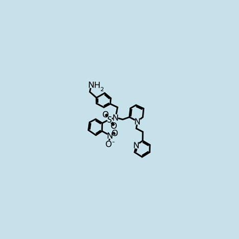 NCc1ccc(CN(CC2=CC=CCN2CCc2ccccn2)S(=O)(=O)c2ccccc2[N+](=O)[O-])cc1